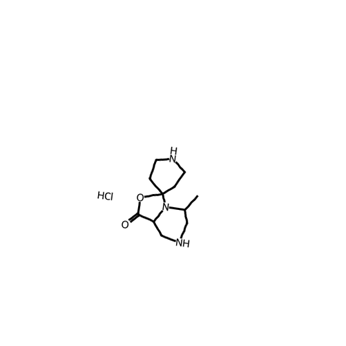 CC1CNCC2C(=O)OC3(CCNCC3)N12.Cl